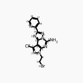 Nc1nc2c(c(Cl)nn2CCBr)c2nc(-c3ccccn3)nn12